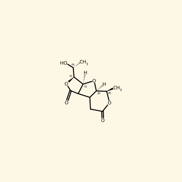 C[C@@H](O)[C@@H]1OC(=O)C2C3CC(=O)O[C@H](C)[C@@H]3O[C@@H]21